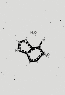 O.O.Oc1cccc2[nH]nnc12